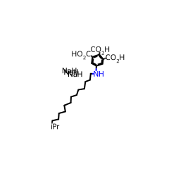 CC(C)CCCCCCCCCCCCCNc1cc(C(=O)O)c(C(=O)O)c(C(=O)O)c1.[NaH].[NaH].[NaH]